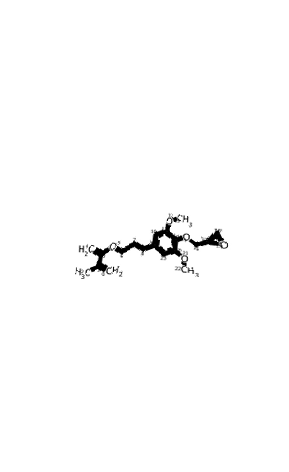 C=C(C)C(=C)OCCCc1cc(OC)c(OCC2CO2)c(OC)c1